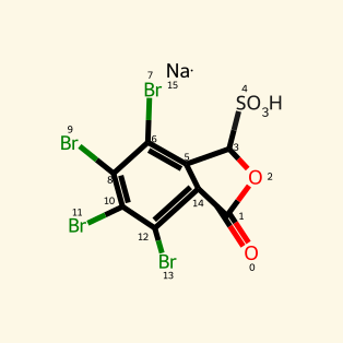 O=C1OC(S(=O)(=O)O)c2c(Br)c(Br)c(Br)c(Br)c21.[Na]